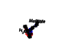 COc1cc2c(cc1OC)CN(CCc1ccc(-n3nnc(-c4cc(OCc5ccccc5)c(C)cc4NC(=O)c4cc(=O)c5ccccc5o4)n3)cc1)CC2